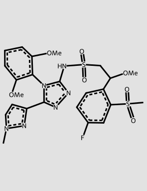 COc1cccc(OC)c1-n1c(NS(=O)(=O)CC(OC)c2ccc(F)cc2S(C)(=O)=O)nnc1-c1ccn(C)n1